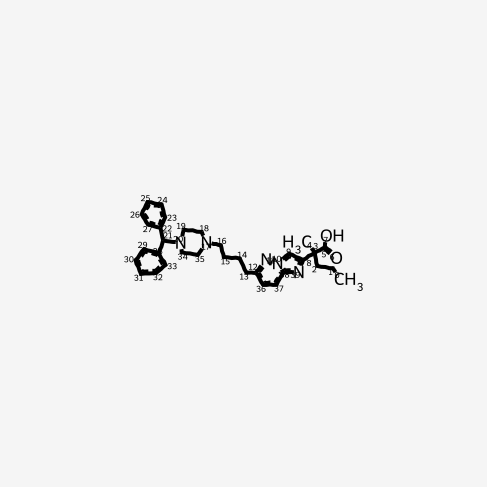 CCCC(C)(C(=O)O)c1cn2nc(CCCCN3CCN(C(c4ccccc4)c4ccccc4)CC3)ccc2n1